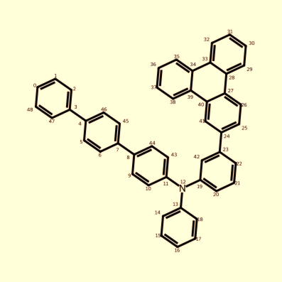 c1ccc(-c2ccc(-c3ccc(N(c4ccccc4)c4cccc(-c5ccc6c7ccccc7c7ccccc7c6c5)c4)cc3)cc2)cc1